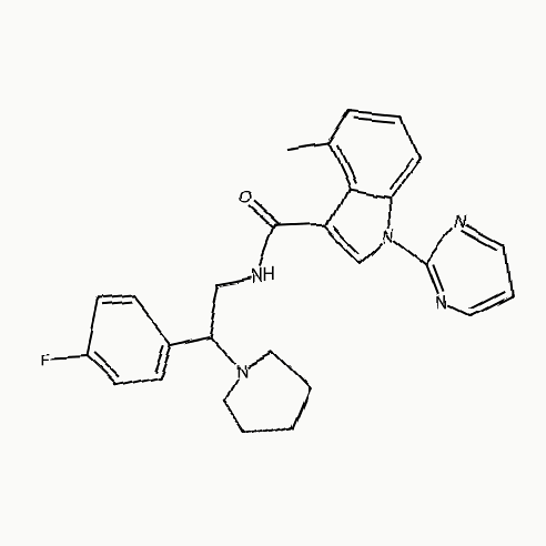 Cc1cccc2c1c(C(=O)NCC(c1ccc(F)cc1)N1CCCCC1)cn2-c1ncccn1